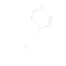 O=[S+]Cc1cc[c]cc1